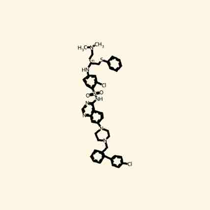 CN(C)CC[C@H](CSc1ccccc1)Nc1ccc(S(=O)(=O)Nc2ncnc3cc(N4CCN(Cc5ccccc5-c5ccc(Cl)cc5)CC4)ccc23)c(Cl)c1